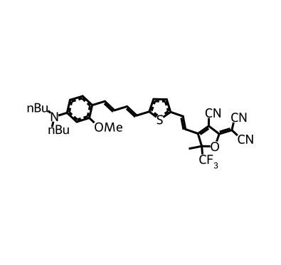 CCCCN(CCCC)c1ccc(C=CC=Cc2ccc(C=CC3=C(C#N)C(=C(C#N)C#N)OC3(C)C(F)(F)F)s2)c(OC)c1